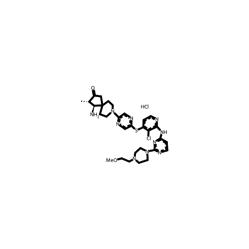 COCCN1CCN(c2nccc(Nc3nccc(Sc4cnc(N5CCC6(CC5)CC(=O)[C@@H](C)[C@@H]6N)cn4)c3Cl)n2)CC1.Cl